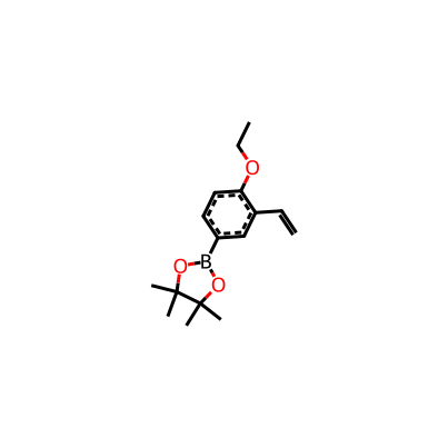 C=Cc1cc(B2OC(C)(C)C(C)(C)O2)ccc1OCC